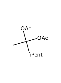 CCCCCC(C)(OC(C)=O)OC(C)=O